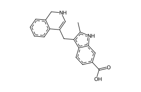 Cc1[nH]c2cc(C(=O)O)ccc2c1CC1=CNCc2ccccc21